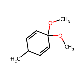 [CH2]C1C=CC(OC)(OC)C=C1